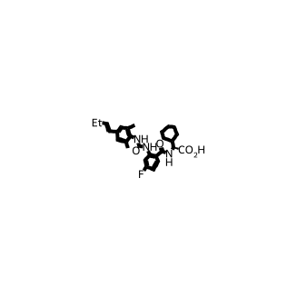 CCC=Cc1cc(C)c(NC(=O)Nc2cc(F)ccc2C(=O)N[C@H](C(=O)O)C2CCCCC2)c(C)c1